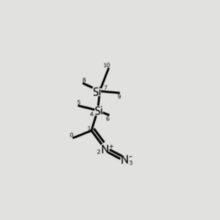 CC(=[N+]=[N-])[Si](C)(C)[Si](C)(C)C